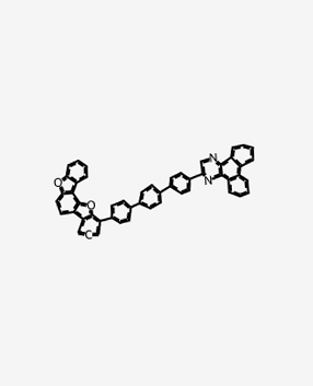 c1ccc2c(c1)oc1ccc3c4cccc(-c5ccc(-c6ccc(-c7ccc(-c8cnc9c%10ccccc%10c%10ccccc%10c9n8)cc7)cc6)cc5)c4oc3c12